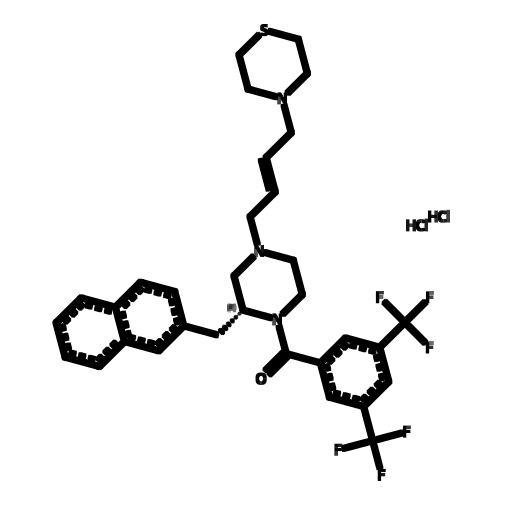 Cl.Cl.O=C(c1cc(C(F)(F)F)cc(C(F)(F)F)c1)N1CCN(CC=CCN2CCSCC2)C[C@H]1Cc1ccc2ccccc2c1